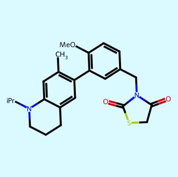 COc1ccc(CN2C(=O)CSC2=O)cc1-c1cc2c(cc1C)N(C(C)C)CCC2